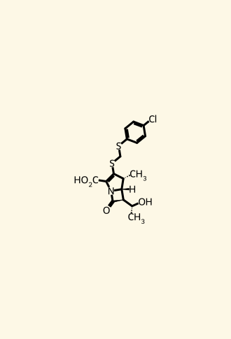 C[C@@H](O)[C@H]1C(=O)N2C(C(=O)O)=C(SCSc3ccc(Cl)cc3)[C@H](C)[C@H]12